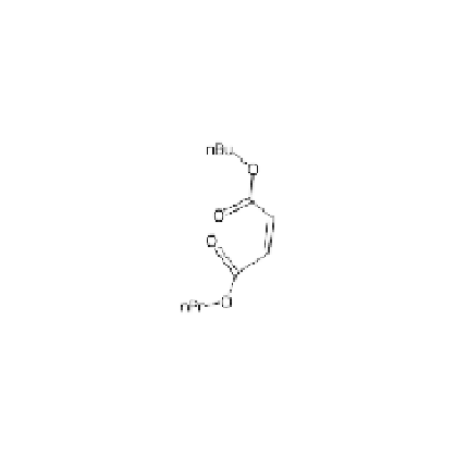 CCCCOC(=O)/C=C\C(=O)OCCC